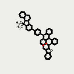 CC1(C)c2ccc(-c3ccc(-c4c5ccccc5c(-c5ccccc5-c5cccc6c5oc5ccccc56)c5ccccc45)cc3)cc2-c2ccc3ccccc3c21